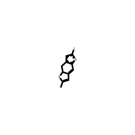 CC1=CC2=Cc3sc(I)cc3CC2S1